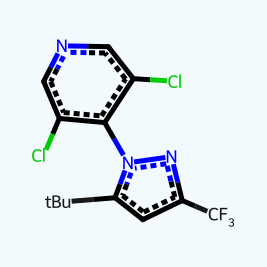 CC(C)(C)c1cc(C(F)(F)F)nn1-c1c(Cl)cncc1Cl